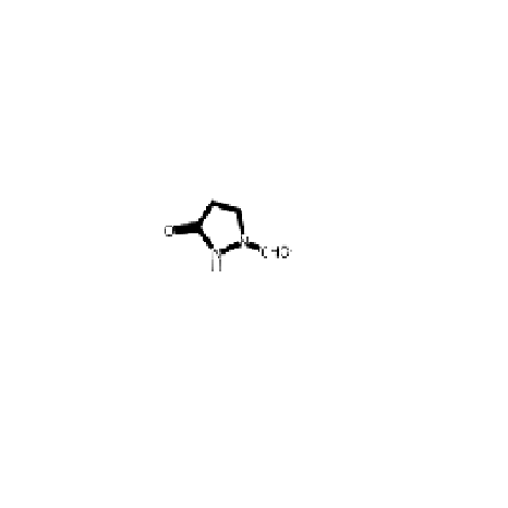 O=[C]N1CCC(=O)N1